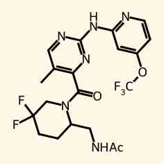 CC(=O)NCC1CCC(F)(F)CN1C(=O)c1nc(Nc2cc(OC(F)(F)F)ccn2)ncc1C